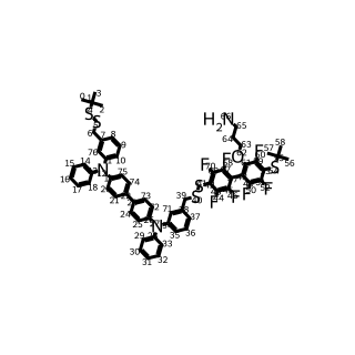 CC(C)(C)SSCc1cccc(N(c2ccccc2)c2ccc(-c3ccc(N(c4ccccc4)c4cccc(CSSc5c(F)c(F)c(-c6c(F)c(F)c(SC(C)(C)C)c(F)c6OCCCN)c(F)c5F)c4)cc3)cc2)c1